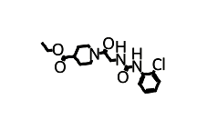 CCOC(=O)C1CCN(C(=O)CNC(=O)Nc2ccccc2Cl)CC1